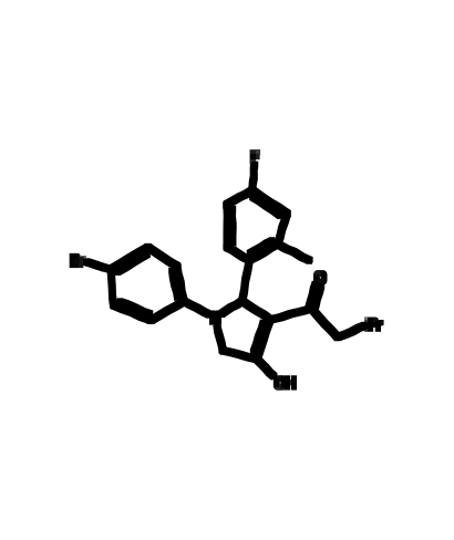 Cc1cc(F)ccc1C1C(C(=O)CC(C)C)=C(O)CN1c1ccc(Br)cc1